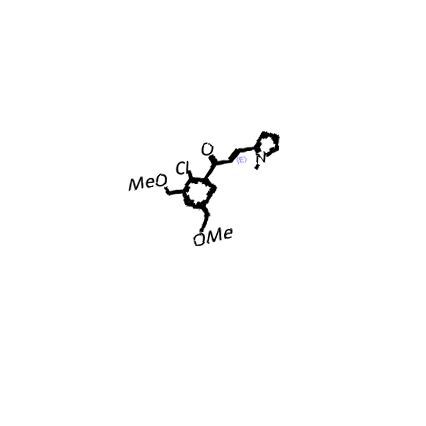 COCc1cc(COC)c(Cl)c(C(=O)/C=C/c2cccn2C)c1